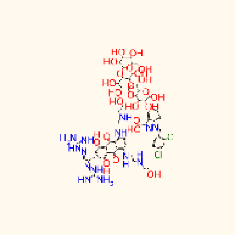 CC(/C=N/NC(=N)N)=N\NC(=N)N.O=C(O)c1nn(Cc2ccc(Cl)cc2Cl)c2ccccc12.O=C1c2c(O)ccc(O)c2C(=O)c2c(NCCNCCO)ccc(NCCNCCO)c21.OC[C@H]1O[C@@H](O[C@H]2[C@H](O)[C@@H](O)[C@H](O[C@H]3[C@H](O)[C@@H](O)C(O)O[C@@H]3CO)O[C@@H]2CO)[C@H](O)[C@@H](O)[C@@H]1O